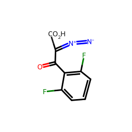 [N-]=[N+]=C(C(=O)O)C(=O)c1c(F)cccc1F